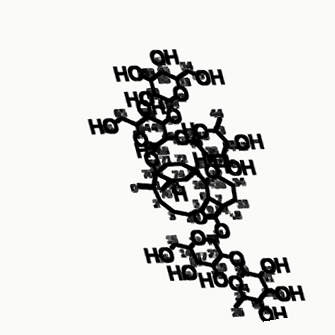 C=C1CCCCC2[C@](C)(C(=O)O[C@H]3OC(CO)[C@@H](O)C(O)C3O[C@@H]3OC(C)[C@H](O)C(O)C3O)CCC[C@]23O[C@H]2C(O)[C@@H](O)C(C)O[C@H]2OC2C(O[C@@H]4OC(CO)[C@@H](O)C(O)C4O)[C@H](O)C(CO)O[C@H]2O[C@]12CC[C@@H]3C[C@H]2C